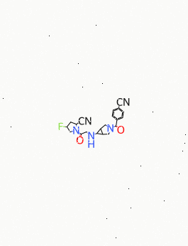 N#Cc1ccc(C(=O)N2CC3C(C2)C3NCC(=O)N2C[C@@H](F)C[C@H]2C#N)cc1